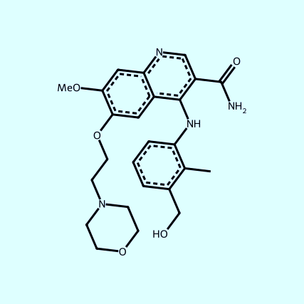 COc1cc2ncc(C(N)=O)c(Nc3cccc(CO)c3C)c2cc1OCCN1CCOCC1